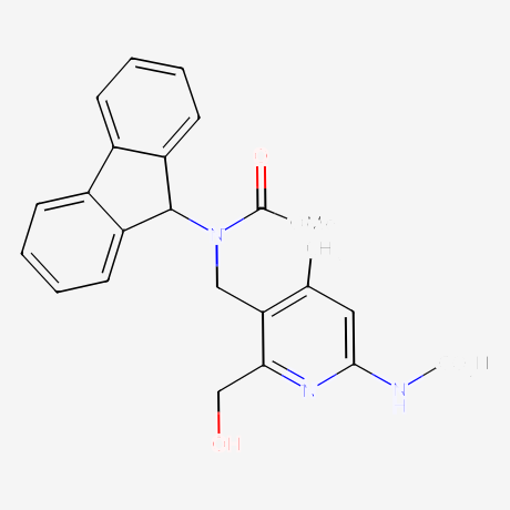 COC(=O)N(Cc1c(C)cc(NC(=O)O)nc1CO)C1c2ccccc2-c2ccccc21